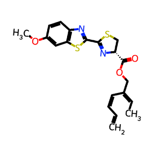 C=C/C=C\C(=C/C)COC(=O)[C@H]1CSC(c2nc3ccc(OC)cc3s2)=N1